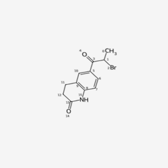 CC(Br)C(=O)c1ccc2c(c1)CCC(=O)N2